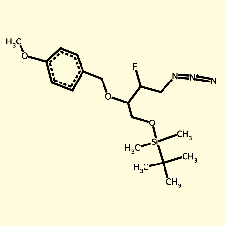 COc1ccc(COC(CO[Si](C)(C)C(C)(C)C)C(F)CN=[N+]=[N-])cc1